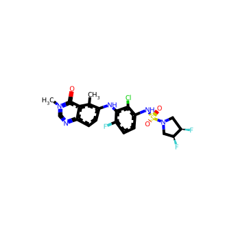 Cc1c(Nc2c(F)ccc(NS(=O)(=O)N3C[C@@H](F)[C@@H](F)C3)c2Cl)ccc2ncn(C)c(=O)c12